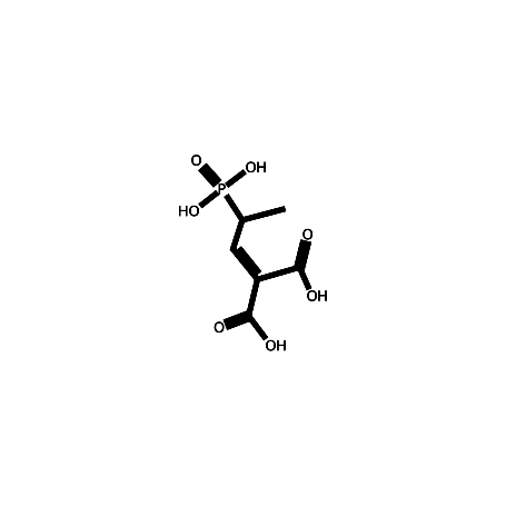 CC(C=C(C(=O)O)C(=O)O)P(=O)(O)O